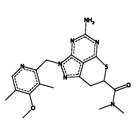 COc1c(C)cnc(Cn2nc3c4c(nc(N)nc42)SC(C(=O)N(C)C)C3)c1C